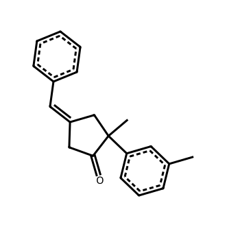 Cc1cccc(C2(C)CC(=Cc3ccccc3)CC2=O)c1